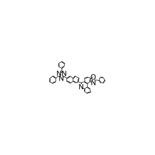 c1ccc(-c2nc(-c3ccccc3)nc(-c3ccc4cc(-c5nc6ccccc6c6c5ccc5oc(-c7ccccc7)nc56)ccc4c3)n2)cc1